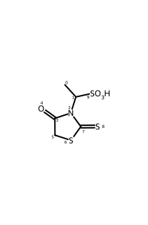 CC(N1C(=O)CSC1=S)S(=O)(=O)O